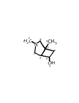 CN1CC2C(O)CC2(C)C1